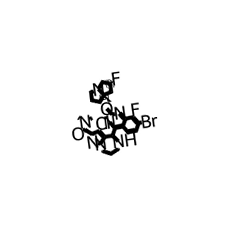 CN(C)C(=O)c1nn2c(c1Cl)C(c1nc(OC[C@@]34CCCN3C[C@H](F)C4)nc3c(F)c(Br)ccc13)NCCC2